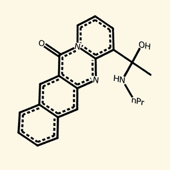 CCCNC(C)(O)c1cccn2c(=O)c3cc4ccccc4cc3nc12